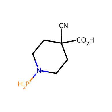 N#CC1(C(=O)O)CCN(P)CC1